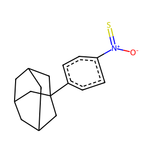 [O-][N+](=S)c1ccc(C23CC4CC(CC(C4)C2)C3)cc1